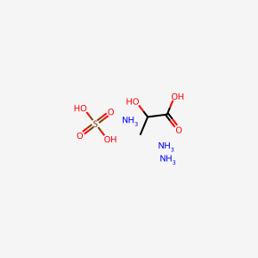 CC(O)C(=O)O.N.N.N.O=S(=O)(O)O